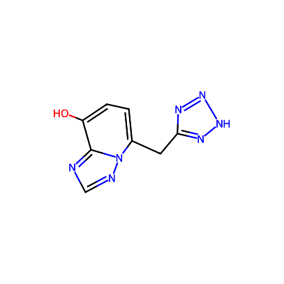 Oc1ccc(Cc2nn[nH]n2)n2ncnc12